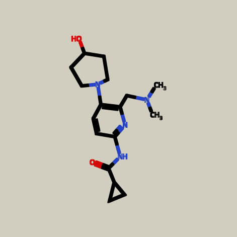 CN(C)Cc1nc(NC(=O)C2CC2)ccc1N1CCC(O)CC1